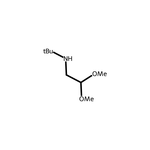 COC(CNC(C)(C)C)OC